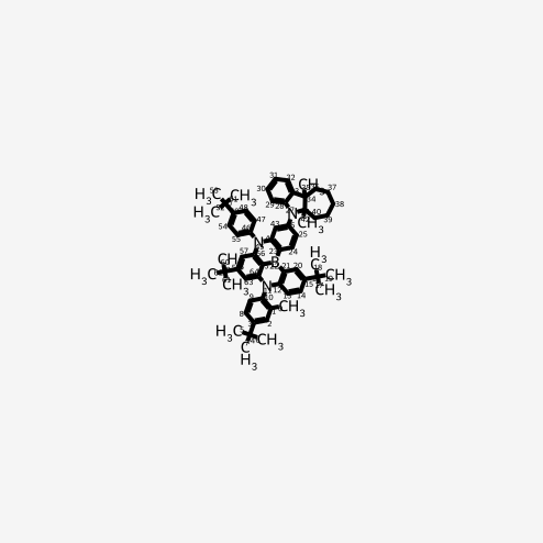 Cc1cc(C(C)(C)C)ccc1N1c2ccc(C(C)(C)C)cc2B2c3ccc(N4c5ccccc5C5(C)CCCCCC45C)cc3N(c3ccc(C(C)(C)C)cc3)c3cc(C(C)(C)C)cc1c32